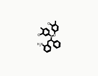 Cc1ccc(OB(c2ccc(C)c(Cl)c2)C(Cc2ccccc2N)c2ccccc2)cc1Cl